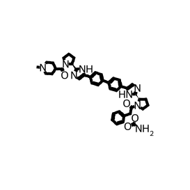 CN1CCC(C(=O)N2CCC[C@H]2c2ncc(-c3ccc(-c4ccc(-c5cnc([C@@H]6CCCN6C(=O)[C@H](OC(N)=O)c6ccccc6)[nH]5)cc4)cc3)[nH]2)CC1